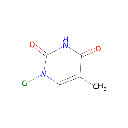 Cc1cn(Cl)c(=O)[nH]c1=O